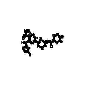 Cc1cc(Nc2nc(N3CCC[C@@H](NC(=O)N4CCNCC4)C3)cnc2C(N)=O)sn1